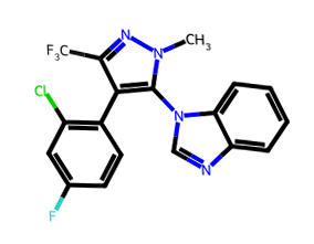 Cn1nc(C(F)(F)F)c(-c2ccc(F)cc2Cl)c1-n1cnc2ccccc21